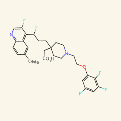 COc1ccc2ncc(F)c(C(F)CCC3(CC(=O)O)CCN(CCOc4cc(F)cc(F)c4F)CC3)c2c1